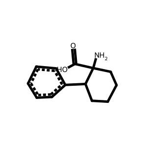 NC1(C(=O)O)CCCCC1c1ccccc1